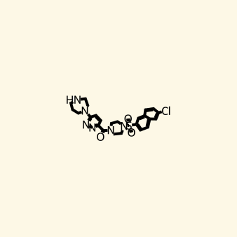 O=C(c1ccc(N2CCCNCC2)nn1)N1CCN(S(=O)(=O)c2ccc3cc(Cl)ccc3c2)CC1